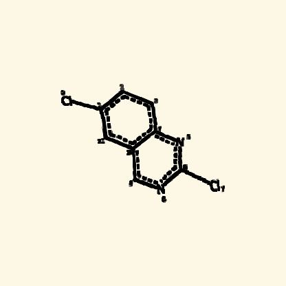 Clc1ccc2nc(Cl)ncc2c1